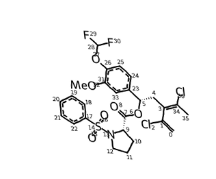 C=C(Cl)/C(C[C@H](OC(=O)[C@@H]1CCCN1S(=O)(=O)c1ccccc1)c1ccc(OC(F)F)c(OC)c1)=C(\C)Cl